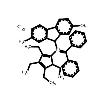 CCC1=C(CC)C(CC)[C]([Zr+2](=[C](c2ccccc2)c2ccccc2)[CH]2c3cc(C)ccc3-c3ccc(C)cc32)=C1CC.[Cl-].[Cl-]